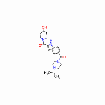 CC(C)N1CCN(C(=O)c2ccc3[nH]c(C(=O)N4CCC(O)CC4)cc3c2)CC1